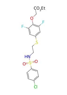 CCOC(=O)COc1c(F)cc(SCCNS(=O)(=O)c2ccc(Cl)cc2)cc1F